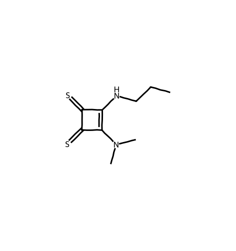 CCCNc1c(N(C)C)c(=S)c1=S